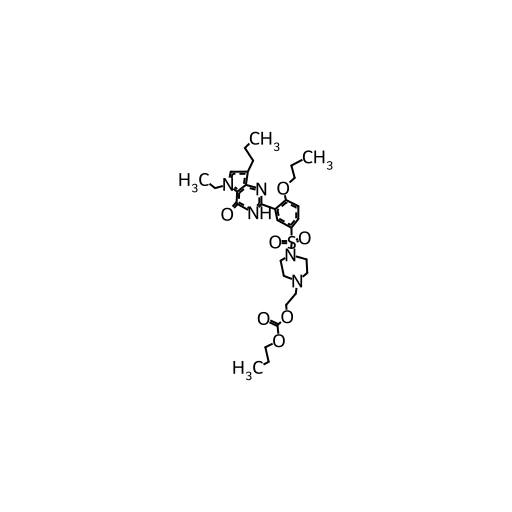 CCCOC(=O)OCCN1CCN(S(=O)(=O)c2ccc(OCCC)c(-c3nc4c(CCC)cn(CC)c4c(=O)[nH]3)c2)CC1